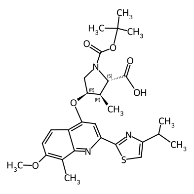 COc1ccc2c(O[C@H]3CN(C(=O)OC(C)(C)C)[C@H](C(=O)O)[C@H]3C)cc(-c3nc(C(C)C)cs3)nc2c1C